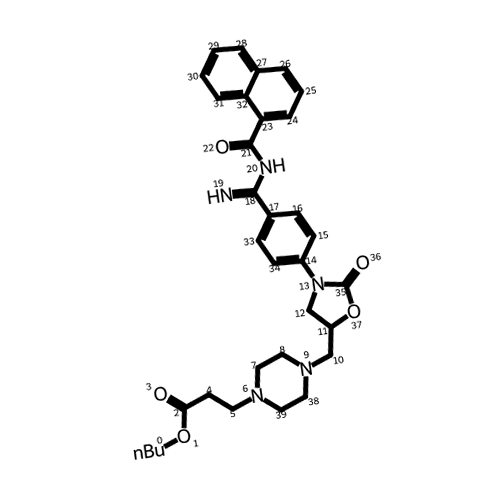 CCCCOC(=O)CCN1CCN(CC2CN(c3ccc(C(=N)NC(=O)c4cccc5ccccc45)cc3)C(=O)O2)CC1